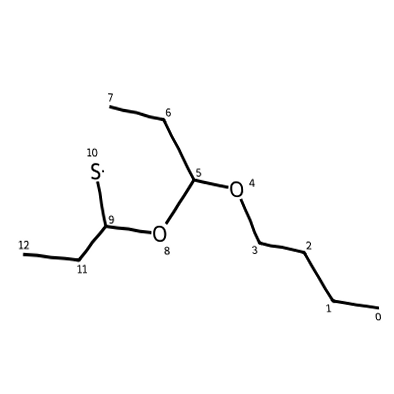 CCCCOC(CC)OC([S])CC